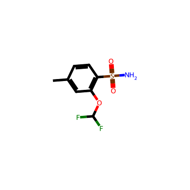 Cc1ccc(S(N)(=O)=O)c(OC(F)F)c1